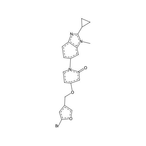 Cn1c(C2CC2)nc2ccc(-n3ccc(OCc4coc(Br)c4)cc3=O)cc21